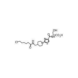 O=C(CCCCCCl)NCC1CCN(c2nc(C(=O)N[C@@H](CO)C(=O)O)cs2)CC1